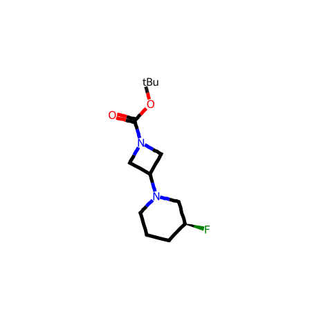 CC(C)(C)OC(=O)N1CC(N2CCC[C@H](F)C2)C1